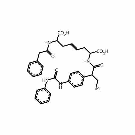 CC(C)CC(C(=O)NC(CC=CCC(NC(=O)Cc1ccccc1)C(=O)O)C(=O)O)c1ccc(NC(=O)Nc2ccccc2)cc1